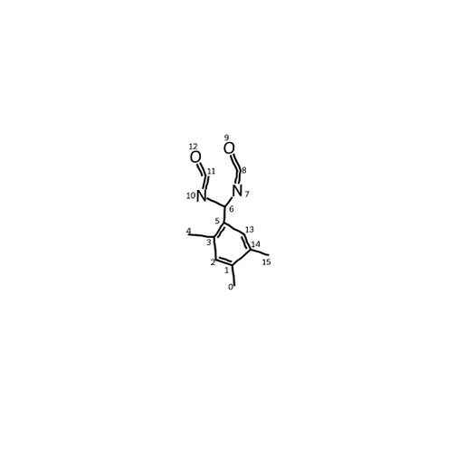 Cc1cc(C)c(C(N=C=O)N=C=O)cc1C